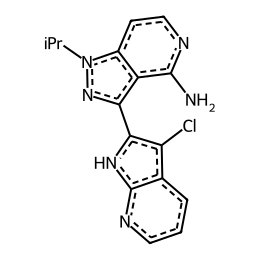 CC(C)n1nc(-c2[nH]c3ncccc3c2Cl)c2c(N)nccc21